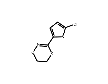 Clc1ccc(C2=NOCCS2)s1